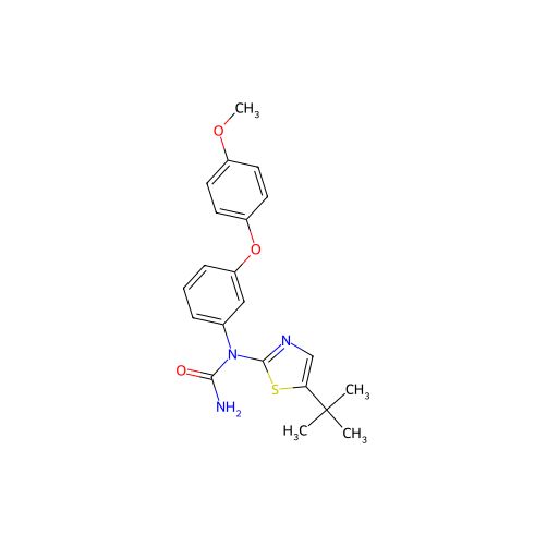 COc1ccc(Oc2cccc(N(C(N)=O)c3ncc(C(C)(C)C)s3)c2)cc1